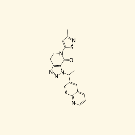 Cc1cc(N2CCc3nnn(C(C)c4ccc5ncccc5c4)c3C2=O)sn1